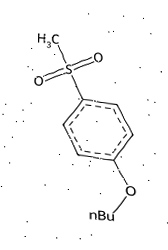 CCCCOc1ccc(S(C)(=O)=O)cc1